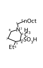 CCCCCCCCCN1CCC(CC)CC1.CS(=O)(=O)O